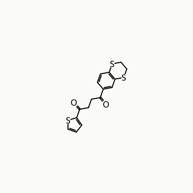 O=C(CCC(=O)c1cccs1)c1ccc2c(c1)SCCS2